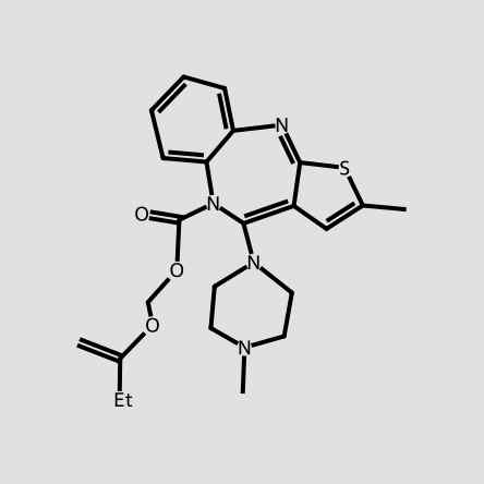 C=C(CC)OCOC(=O)N1C(N2CCN(C)CC2)=c2cc(C)sc2=Nc2ccccc21